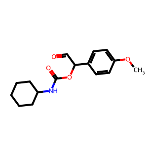 COc1ccc(C(C=O)OC(=O)NC2CCCCC2)cc1